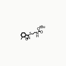 Cc1cccc2c(SCCNC(=O)OC(C)(C)C)noc12